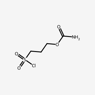 NC(=O)OCCCS(=O)(=O)Cl